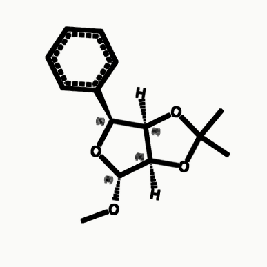 CO[C@@H]1O[C@@H](c2ccccc2)[C@H]2OC(C)(C)O[C@@H]12